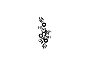 C=CC(=O)NC1=CCCC(c2nc(Nc3cccc(N4CCOCC4)c3)nc3[nH]nc(C(=O)Nc4ccc(N5CCOCC5)cc4)c23)=C1